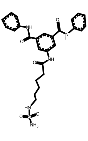 NS(=O)(=O)NCCCCCC(=O)Nc1cc(C(=O)Nc2ccccc2)cc(C(=O)Nc2ccccc2)c1